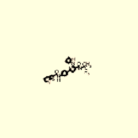 CC(C)NC(=O)c1ccc(-c2ccc(NC(=O)c3cc4cccnc4s3)cc2)nc1Nc1ccccc1